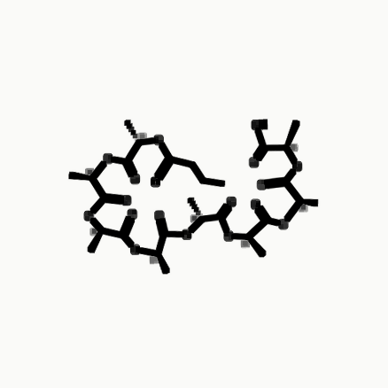 CCCC(=O)O[C@@H](C)C(=O)O[C@H](C)C(=O)O[C@H](C)C(=O)O[C@H](C)C(=O)O[C@H](C)C(=O)O[C@H](C)C(=O)O[C@H](C)C(=O)O[C@H](C)C(=O)O